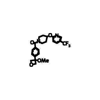 COC1(c2ccc(C(=O)N3CCC(Oc4ccc(C(F)(F)F)cn4)CC3)cc2)COC1